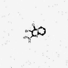 CCCNc1nc2ccccn2c(=O)c1Br